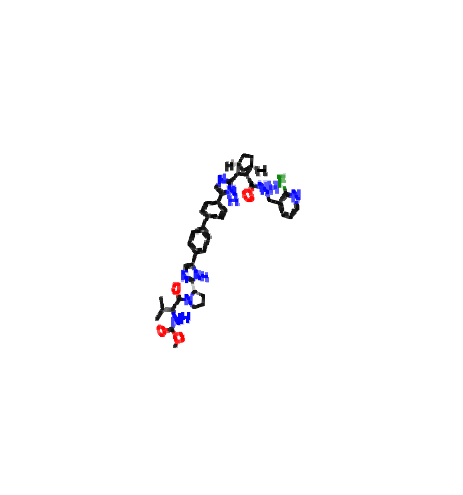 COC(=O)N[C@H](C(=O)N1CCC[C@H]1c1ncc(-c2ccc(-c3ccc(-c4cnc(C5[C@H]6CC[C@H](C6)[C@H]5C(=O)NCc5cccnc5F)[nH]4)cc3)cc2)[nH]1)C(C)C